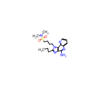 CCCc1nc2c(N)nc3cccnc3c2n1CCCCS(=O)(=O)N(C)C